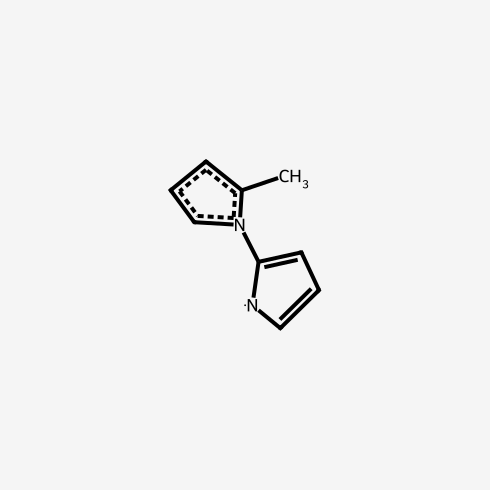 Cc1cccn1C1=CC=C[N]1